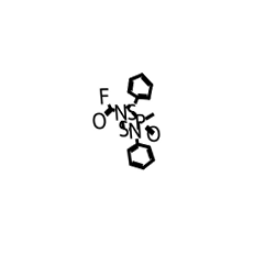 CN(SN(c1ccccc1)P(C)(=O)Sc1ccccc1)C(=O)F